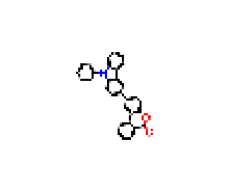 O=c1oc2ccc(-c3ccc4c(c3)c3ccccc3n4-c3ccccc3)cc2c2ccccc12